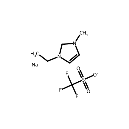 CCN1C=CN(C)C1.O=S(=O)([O-])C(F)(F)F.[Na+]